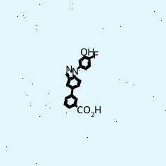 O=C(O)c1cccc(-c2ccc3c(cnn3-c3ccc(F)c(O)c3)c2)c1